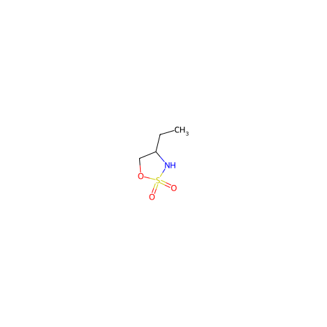 CCC1COS(=O)(=O)N1